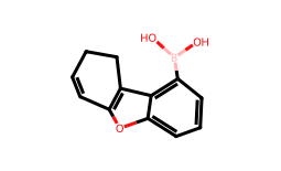 OB(O)c1cccc2oc3c(c12)CCC=C3